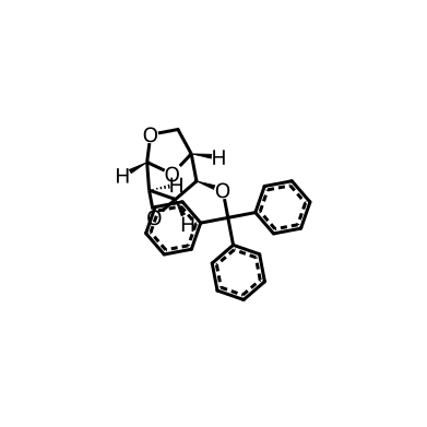 c1ccc(C(O[C@H]2[C@@H]3O[C@H]3[C@@H]3OC[C@H]2O3)(c2ccccc2)c2ccccc2)cc1